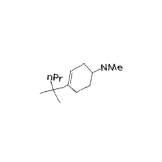 CCCC(C)(C)C1=CCC(NC)CC1